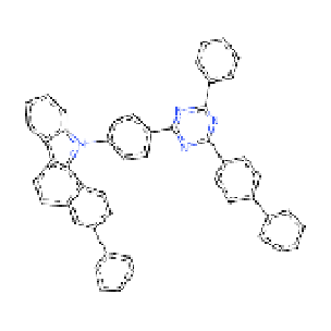 c1ccc(-c2ccc(-c3nc(-c4ccccc4)nc(-c4ccc(-n5c6ccccc6c6ccc7cc(-c8ccccc8)ccc7c65)cc4)n3)cc2)cc1